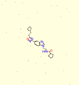 O=C(NCCn1cnc2cc(-c3noc(CCC4CCCC4)n3)ccc21)C1CCCC1